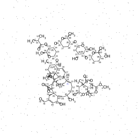 COC(=O)N[C@@H]1[C@@H](C)O[C@@H](O[C@H]2C/C=C(\C)[C@@H]3C=C[C@@H]4[C@@H](O[C@H]5C[C@@H](O[C@H]6CC[C@@H](O[C@H]7C[C@@H](O)[C@@H](O[C@H]8CC[C@@H](O)[C@H](C)O8)[C@H](C)O7)[C@H](C)O6)[C@@H](OC(=O)C(C)C)[C@H](C)O5)[C@@H](C)C[C@H](C)[C@H]4[C@]3(C)C(O)=C3C(=O)O[C@]4(CC(C=O)=CC(O)C4=CC2C)C3=O)C[C@]1(C)[N+](=O)[O-]